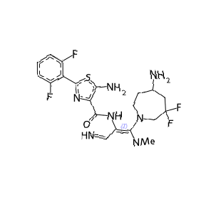 CN/C(=C(\C=N)NC(=O)c1nc(-c2c(F)cccc2F)sc1N)N1CCC(N)CC(F)(F)C1